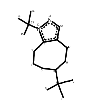 CC(C)(C)C1CCCc2c(cnn2C(C)(C)C)CC1